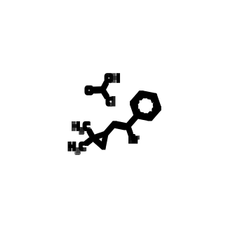 CC1(C)CC1C=C(Br)c1ccccc1.O=C(O)Cl